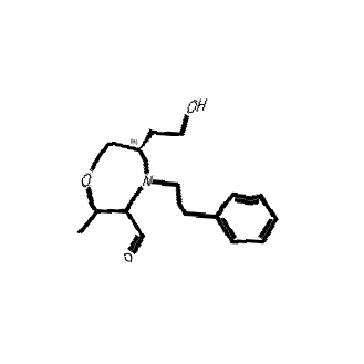 CC1OC[C@@H](CCO)N(CCc2ccccc2)C1C=O